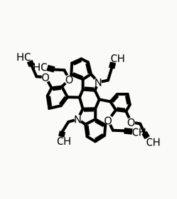 C#CCOc1cccc(C2c3c(n(CC#C)c4ccccc34)C(c3cccc(OCC#C)c3OCC#C)c3c2n(CC#C)c2ccccc32)c1OCC#C